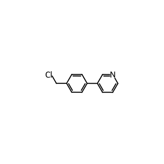 ClCc1ccc(-c2cccnc2)cc1